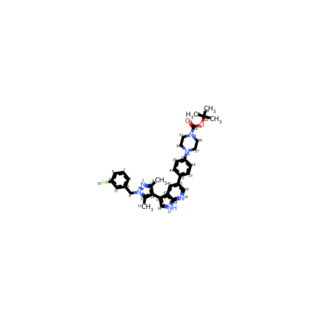 Cc1nn(Cc2cccc(F)c2)c(C)c1-c1c[nH]c2ncc(-c3ccc(N4CCN(C(=O)OC(C)(C)C)CC4)cc3)cc12